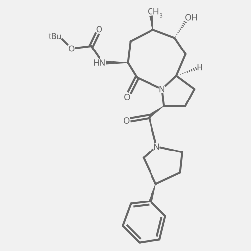 C[C@@H]1C[C@H](NC(=O)OC(C)(C)C)C(=O)N2[C@H](CC[C@H]2C(=O)N2CC[C@@H](c3ccccc3)C2)C[C@H]1O